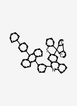 c1ccc(-c2ccc(-c3c4ccccc4c(-c4cccc(-c5nc6ccccc6c6cc7c(cc56)Sc5ccccc5C75c6ccccc6-c6ccccc65)c4)c4ccccc34)cc2)cc1